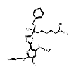 C=CCOc1nc(-c2nnc([C@@](CCCCC[C@H](C)O)(OCc3ccccc3)C(F)(F)F)o2)c(NC(=O)O)cc1C(F)(F)F